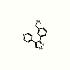 NCc1cccc(-c2n[nH]cc2-c2ccncn2)c1